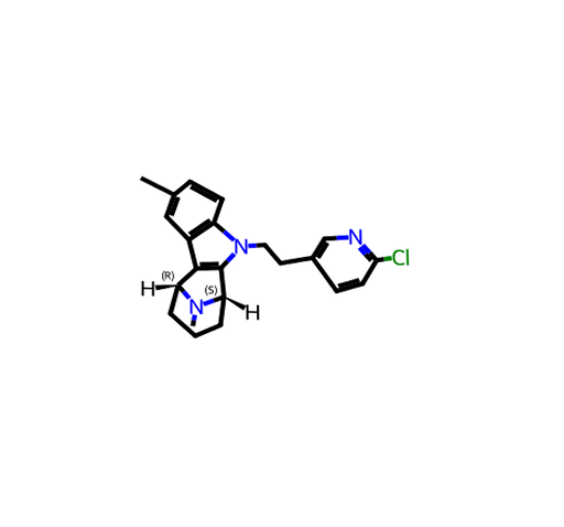 Cc1ccc2c(c1)c1c(n2CCc2ccc(Cl)nc2)[C@@H]2CCC[C@H]1N2C